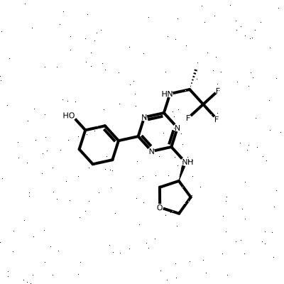 C[C@@H](Nc1nc(N[C@H]2CCOC2)nc(C2=CC(O)CCC2)n1)C(F)(F)F